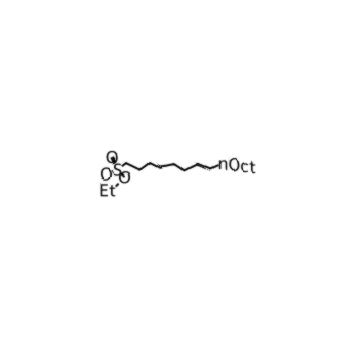 CCCCCCCCCCCCCCCCS(=O)(=O)OCC